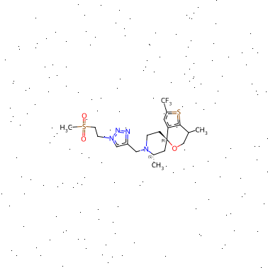 CC1CO[C@@]2(CCN(Cc3cn(CCS(C)(=O)=O)nn3)[C@@H](C)C2)c2cc(C(F)(F)F)sc21